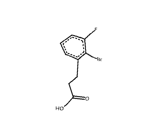 O=C(O)CCc1cccc(F)c1Br